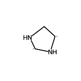 [CH]1CN[CH]N1